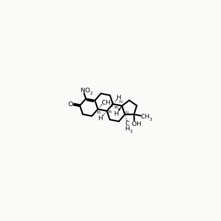 CC1(O)CC[C@H]2[C@@H]3CCC4=C([N+](=O)[O-])C(=O)CC[C@]4(C)[C@@H]3CC[C@@]21C